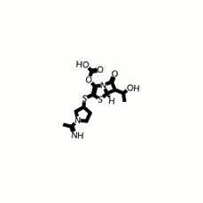 CC(=N)N1CCC(SC2=C(OC(=O)O)N3C(=O)C(C(C)O)[C@@H]3S2)C1